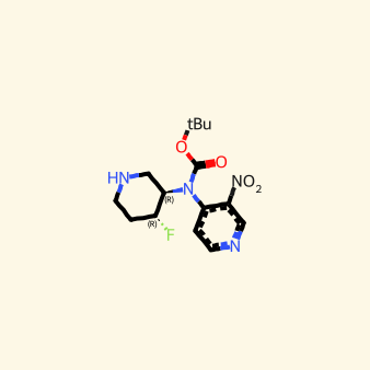 CC(C)(C)OC(=O)N(c1ccncc1[N+](=O)[O-])[C@@H]1CNCC[C@H]1F